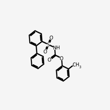 Cc1ccccc1OC(=O)NS(=O)(=O)c1ccccc1-c1ccccc1